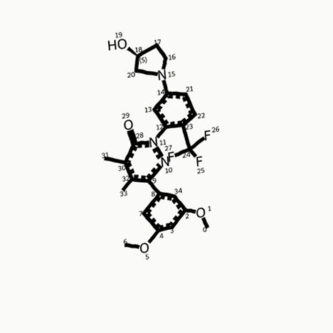 COc1cc(OC)cc(-c2nn(-c3cc(N4CC[C@H](O)C4)ccc3C(F)(F)F)c(=O)c(C)c2C)c1